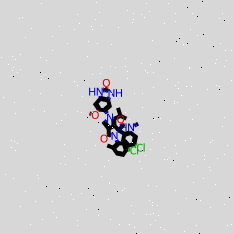 CNc1cc(Cl)ccc1C1(C=O)c2c(cn(-c3cc4[nH]c(=O)[nH]c4cc3OC)c2C(C)C)C(=O)N1c1cc(Cl)ccc1C